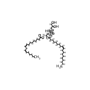 CCCCC/C=C\C/C=C\CCCCCCCC(=O)OC[C@H](COP(=O)(O)OC[C@@H](O)CO)OC(=O)CCCCCCC/C=C\CCCCCCCCC